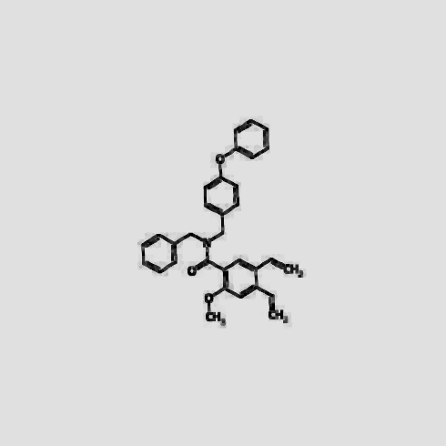 C=Cc1cc(OC)c(C(=O)N(Cc2ccccc2)Cc2ccc(Oc3ccccc3)cc2)cc1C=C